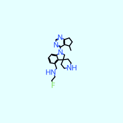 CC1CCc2ncnc(N3CC4(CCNCC4)c4c(CNCCF)cccc43)c21